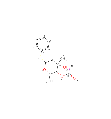 CC1OC(Sc2ccccc2)CC(C)(O)C1OC(=O)I